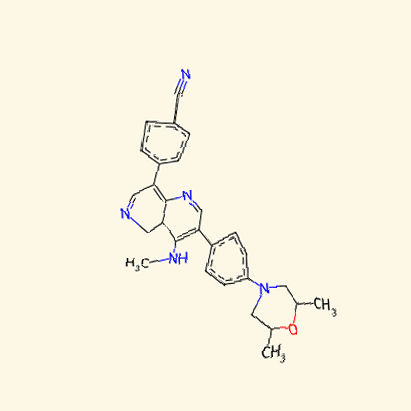 CNC1=C(c2ccc(N3CC(C)OC(C)C3)cc2)C=NC2=C(c3ccc(C#N)cc3)C=NCC21